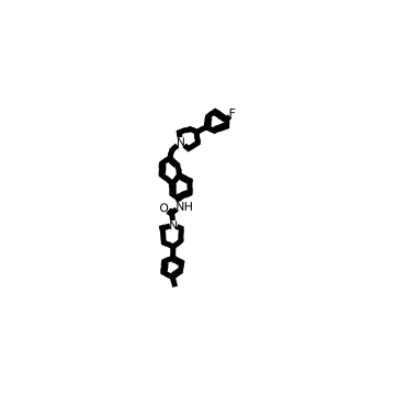 Cc1ccc(C2CCN(C(=O)Nc3ccc4cc(CN5CCC(c6ccc(F)cc6)CC5)ccc4c3)CC2)cc1